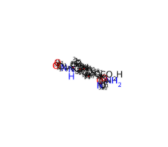 C=C(C)[C@@H]1CC[C@]2(NCCN3CCS(=O)(=O)CC3)CC[C@]3(C)C(CC[C@@H]4[C@@]5(C)CC=C(C6=CC[C@@](COc7ncccc7C(N)=O)(C(=O)O)CC6)C(C)(C)[C@@H]5CC[C@]43C)[C@@H]12